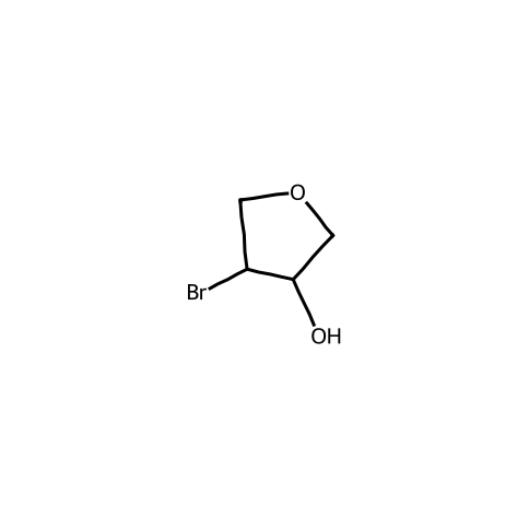 OC1COCC1Br